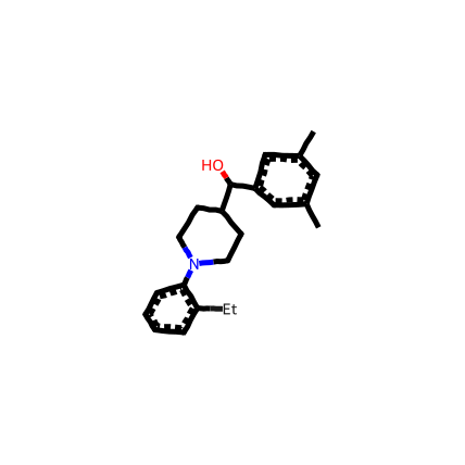 CCc1ccccc1N1CCC(C(O)c2cc(C)cc(C)c2)CC1